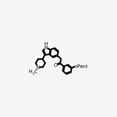 CCCCCc1cccc(C(=O)Cc2ccc3[nH]cc(C4CCN(C)CC4)c3c2)c1